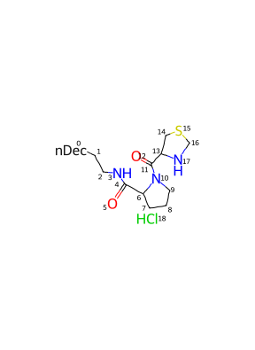 CCCCCCCCCCCCNC(=O)C1CCCN1C(=O)C1CSCN1.Cl